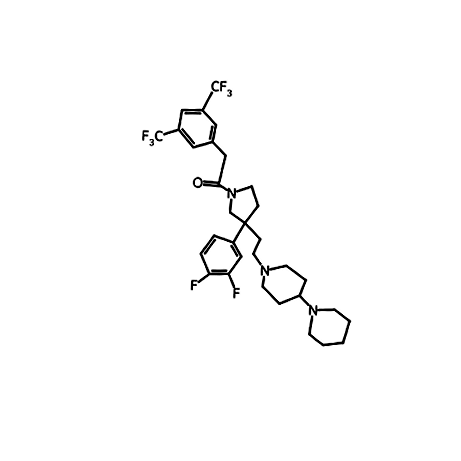 O=C(Cc1cc(C(F)(F)F)cc(C(F)(F)F)c1)N1CCC(CCN2CCC(N3CCCCC3)CC2)(c2ccc(F)c(F)c2)C1